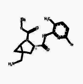 Cc1ccc(Br)nc1NC(=O)[C@@H]1CC2(CN)CC2N1C(=O)OC(C)(C)C